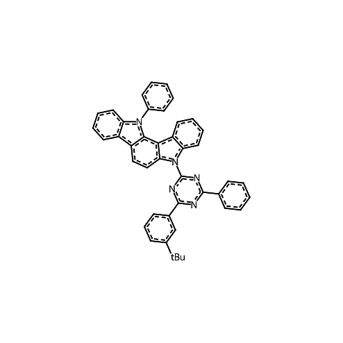 CC(C)(C)c1cccc(-c2nc(-c3ccccc3)nc(-n3c4ccccc4c4c3ccc3c5ccccc5n(-c5ccccc5)c34)n2)c1